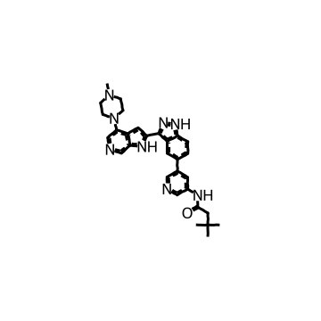 CN1CCN(c2cncc3[nH]c(-c4n[nH]c5ccc(-c6cncc(NC(=O)CC(C)(C)C)c6)cc45)cc23)CC1